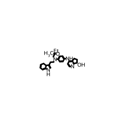 CCC1(C)CN(CCC2=CNC3=CC=CCC23)c2ccc(Nc3ccnc4c3CCC4O)cc2O1